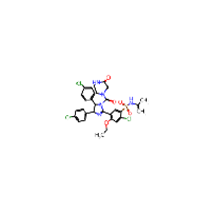 CCOc1cc(Cl)c(S(=O)(=O)NC(C)C)cc1C1=NC(c2ccc(Cl)cc2)C(c2ccc(Cl)cc2)N1C(=O)N1CCNC(=O)C1